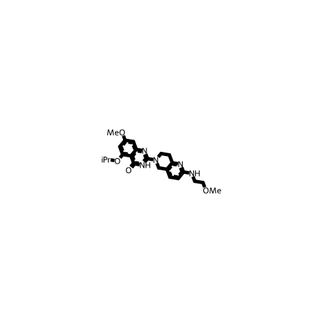 COCCNc1ccc2c(n1)CCN(c1nc3cc(OC)cc(OC(C)C)c3c(=O)[nH]1)C2